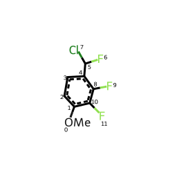 COc1ccc(C(F)Cl)c(F)c1F